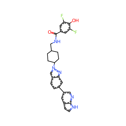 O=C(NCC1CCC(n2cc3ccc(-c4cnc5[nH]ccc5c4)cc3n2)CC1)c1cc(F)c(O)c(F)c1